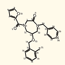 O=C1CN(C(=O)c2ccco2)CC(OCc2ccccc2F)CN1Cc1ccncc1